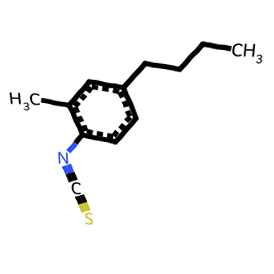 CCCCc1ccc(N=C=S)c(C)c1